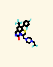 O=c1ncc2cc(C(F)(F)F)c(-c3ccc(F)cc3F)c3c2n1C(CN1CCN(CC(F)F)CC1)CS3